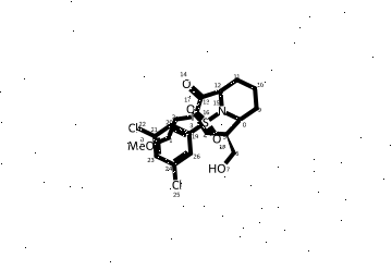 COCCN1C[C@H](CO)C2CCCC(C1=O)N2S(=O)(=O)c1cc(Cl)cc(Cl)c1